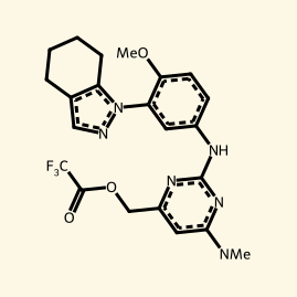 CNc1cc(COC(=O)C(F)(F)F)nc(Nc2ccc(OC)c(-n3ncc4c3CCCC4)c2)n1